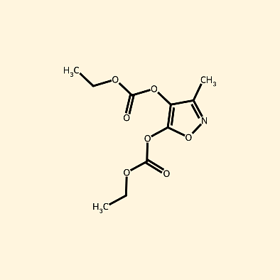 CCOC(=O)Oc1onc(C)c1OC(=O)OCC